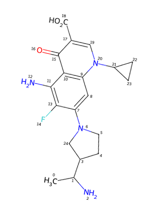 CC(N)C1CCN(c2cc3c(c(N)c2F)c(=O)c(C(=O)O)cn3C2CC2)C1